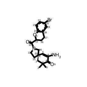 CC1(C)C[C@@]2(C=C(N)C1=O)CCN(C(=O)C1CCc3cc(Br)ccc3O1)C2